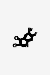 Fc1cc2ncc(Cl)c(Cl)c2cc1Br